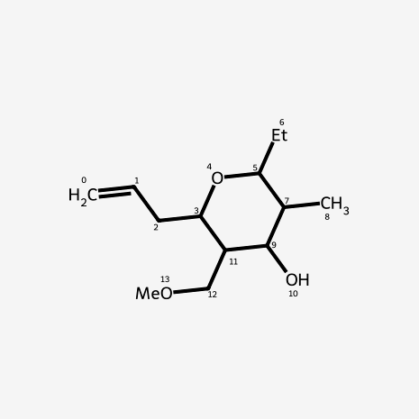 C=CCC1OC(CC)C(C)C(O)C1COC